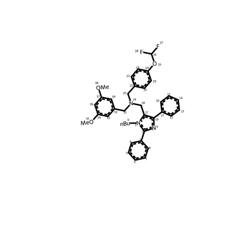 CCCCn1c(-c2ccccc2)nc(-c2ccccc2)c1CN(Cc1ccc(OC(F)F)cc1)Cc1cc(OC)cc(OC)c1